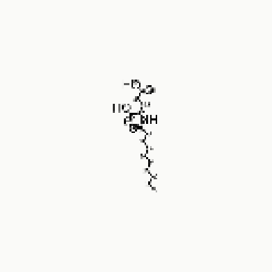 CCCCCCCCCC(=O)NC(CCC(=O)O)C(=O)O